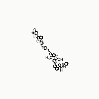 Cc1c(OCCCC2CCN(CC3CCN(c4cccc5c(C6CCC(=O)NC6=O)nn(C)c45)CC3)CC2)cccc1-c1ccc(N2CCc3cccc(C(=O)Nc4nc5ccccc5s4)c3C2)nc1C(=O)O